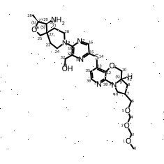 COCOCOCC1C[C@H]2COc3c(Sc4cnc(N5CCC6(CC5)CO[C@@H](C)[C@H]6N)c(CO)n4)ccnc3N2C1